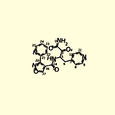 NC(=O)C(=O)C(Cc1ccncc1)NC(=O)c1conc1-c1ccccn1